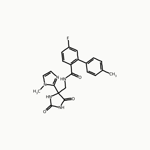 Cc1ccc(-c2cc(F)ccc2C(=O)NCC2(c3nccn3C)NC(=O)NC2=O)cc1